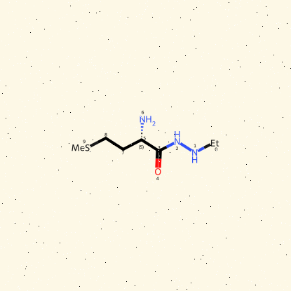 CCNNC(=O)[C@@H](N)CCSC